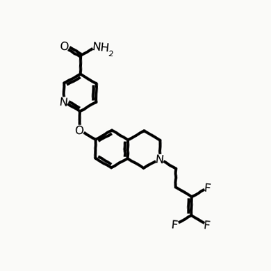 NC(=O)c1ccc(Oc2ccc3c(c2)CCN(CCC(F)=C(F)F)C3)nc1